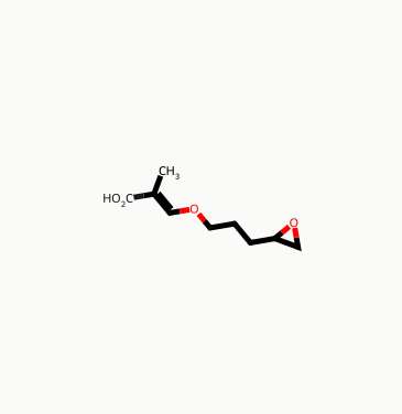 CC(=COCCCC1CO1)C(=O)O